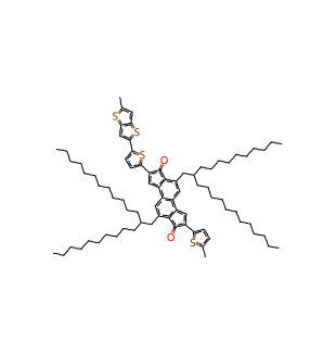 CCCCCCCCCCCCC(CCCCCCCCCC)Cc1cc2c3cc(-c4ccc(-c5cc6sc(C)cc6s5)s4)c(=O)c3c(CC(CCCCCCCCCC)CCCCCCCCCCCC)cc2c2cc(-c3ccc(C)s3)c(=O)c12